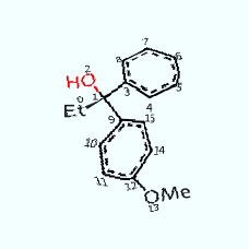 CC[C@@](O)(c1ccccc1)c1ccc(OC)cc1